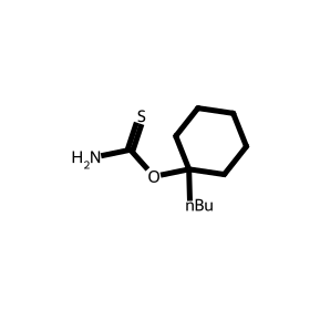 CCCCC1(OC(N)=S)CCCCC1